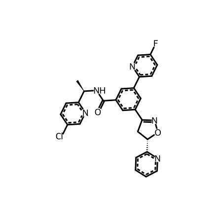 C[C@@H](NC(=O)c1cc(C2=NO[C@H](c3ccccn3)C2)cc(-c2ccc(F)cn2)c1)c1ccc(Cl)cn1